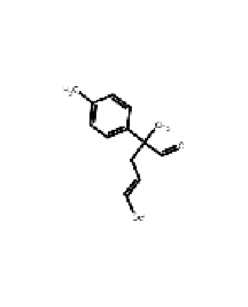 Cc1ccc(C(C)(C=O)CC=[CH][Ge])cc1